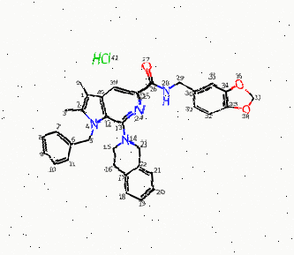 Cc1c(C)n(Cc2ccccc2)c2c(N3CCc4ccccc4C3)nc(C(=O)NCc3ccc4c(c3)OCO4)cc12.Cl